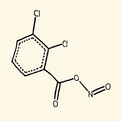 O=NOC(=O)c1cccc(Cl)c1Cl